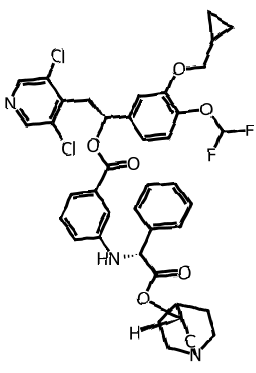 O=C(O[C@@H](Cc1c(Cl)cncc1Cl)c1ccc(OC(F)F)c(OCC2CC2)c1)c1cccc(N[C@@H](C(=O)O[C@H]2CN3CCC2CC3)c2ccccc2)c1